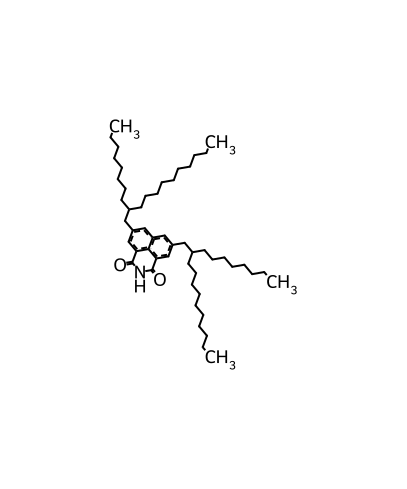 CCCCCCCCCCC(CCCCCCCC)Cc1cc2c3c(cc(CC(CCCCCCCC)CCCCCCCCCC)cc3c1)C(=O)NC2=O